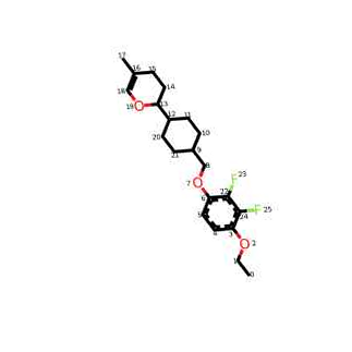 CCOc1ccc(OCC2CCC(C3CCC(C)=CO3)CC2)c(F)c1F